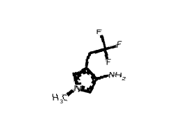 Cn1cc(N)c(CC(F)(F)F)c1